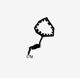 N#C/[C]=C/c1ccccc1